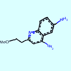 COCCc1cc(N)c2cc(N)ccc2n1